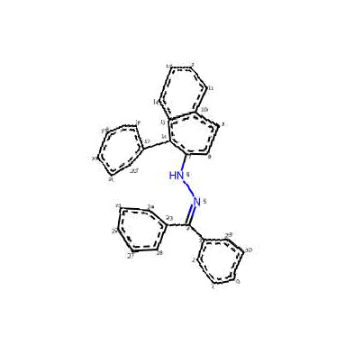 c1ccc(C(=NNc2ccc3ccccc3c2-c2ccccc2)c2ccccc2)cc1